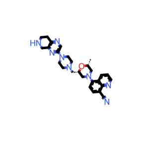 C[C@@H]1CN(c2ccc(C#N)c3ncccc23)C[C@H](CN2CCN(c3cnc4c(n3)CNCC4)CC2)O1